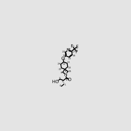 CC[C@H](CO)C(=O)N1CC2(CCC(Oc3ccc(C(F)(F)F)nc3)CC2)C1